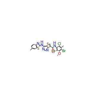 COc1c(Cl)c(NC(=O)c2csc3c(Nc4nc5ccc(C)cc5s4)ncnc23)c(Cl)c(C)c1Br